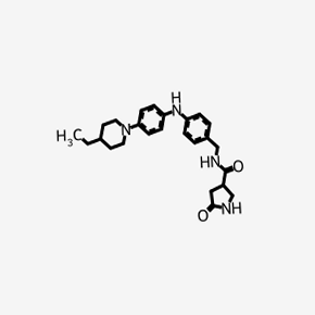 CCC1CCN(c2ccc(Nc3ccc(CNC(=O)C4CNC(=O)C4)cc3)cc2)CC1